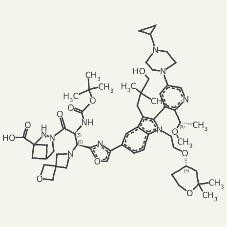 CO[C@@H](C)c1ncc(N2CCN(C3CC3)CC2)cc1-c1c(CC(C)(C)CO)c2cc(-c3coc([C@H]([C@H](NC(=O)OC(C)(C)C)C(=O)N4CC5CC(C(=O)O)(C5)N4)N4CC5(COC5)C4)n3)ccc2n1CCO[C@H]1CCOC(C)(C)C1